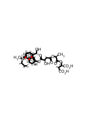 C[C@H](OC(=O)C[C@H](O)C(=O)OC1=CC[C@@]2(O)[C@H]3Cc4ccc(CO)c5c4[C@@]2(CCCN3C)[C@H]1O5)C(=O)O[C@@H](CC(=O)O)C(=O)O